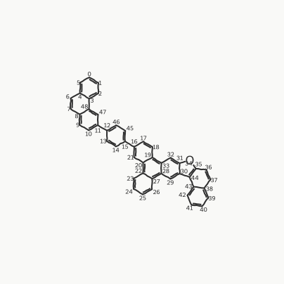 c1ccc2c(c1)ccc1ccc(-c3ccc(-c4ccc5c(c4)c4ccccc4c4cc6c(cc54)oc4ccc5ccccc5c46)cc3)cc12